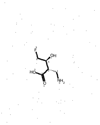 NC[C@H](C(=O)O)[C@H](O)CF